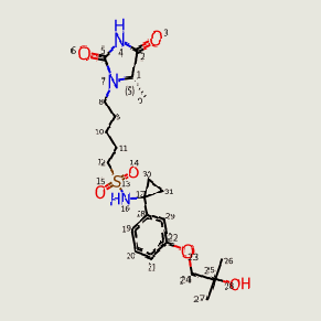 C[C@H]1C(=O)NC(=O)N1CCCCCS(=O)(=O)NC1(c2cccc(OCC(C)(C)O)c2)CC1